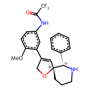 COc1ccc(NC(=O)C(F)(F)F)cc1C1=C[C@@]2(CCCN[C@H]2c2ccccc2)OC1